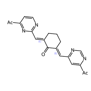 CC(=O)c1cc(/C=C2\CCC/C(=C\c3nccc(C(C)=O)n3)C2=O)ncn1